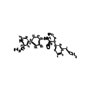 C=Cc1cccc(C(CC(C)C)C(=O)Nc2ccc(-c3ccnc(C)c3)cc2)c1